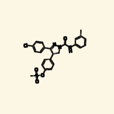 Cc1cccc(NC(=O)N2CC(c3ccc(OS(C)(=O)=O)cc3)C(c3ccc(Cl)cc3)=N2)c1